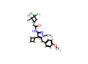 Cn1nc(NC(=O)C[C@@H]2CC(F)(F)C2(F)F)c(C2CCC2)c1Cc1ccc(OC(F)(F)F)cc1